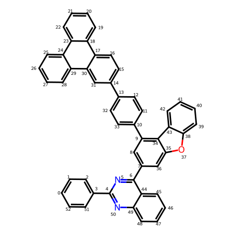 c1ccc(-c2nc(-c3cc(-c4ccc(-c5ccc6c7ccccc7c7ccccc7c6c5)cc4)c4c(c3)oc3ccccc34)c3ccccc3n2)cc1